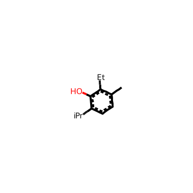 CCc1c(C)ccc(C(C)C)c1O